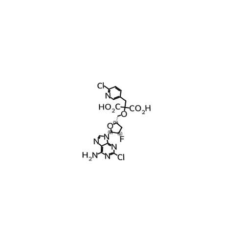 Nc1nc(Cl)nc2c1ncn2[C@@H]1O[C@H](COC(Cc2ccc(Cl)nc2)(C(=O)O)C(=O)O)C[C@@H]1F